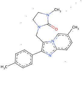 Cc1ccc(-c2nc3ccc(C)cn3c2CN2CCN(C)C2=O)cc1